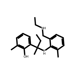 CCNCc1cccc(C)c1PC(C)(CC)c1cccc(C)c1O